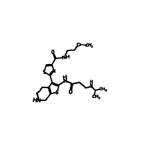 COCCNC(=O)c1csc(-c2c(NC(=O)CCNC(C)C)sc3c2CCNC3)n1